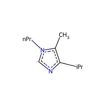 CCCn1[c]nc(C(C)C)c1C